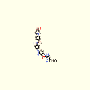 O=Cc1ccc(C(=O)Nc2ccc(Nc3ccc(NC(=O)c4ccc(N5CCC(O)CC5)cc4)cc3)cc2)[nH]1